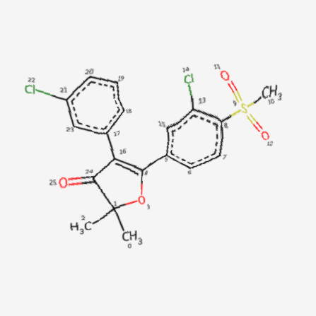 CC1(C)OC(c2ccc(S(C)(=O)=O)c(Cl)c2)=C(c2cccc(Cl)c2)C1=O